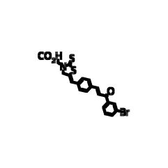 O=C(O)CN1C/C(=C/c2ccc(/C=C/C(=O)c3cccc(Br)c3)cc2)SC1=S